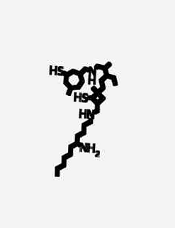 CCCCCCC(N)CCCCNCC1CC(C)(CCC(CC)C(C)CNCC2CCC(C)CC(S)C2)C1S